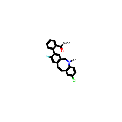 CNC(=O)c1ccccc1-c1cc2c(cc1F)C=Cc1cc(Cl)ccc1N(C(C)=O)C2